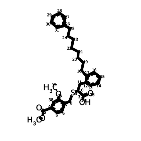 COC(=O)c1ccc(CSC(Cc2ccccc2CCCCCCCCc2ccccc2)C(=O)O)c(OC)c1